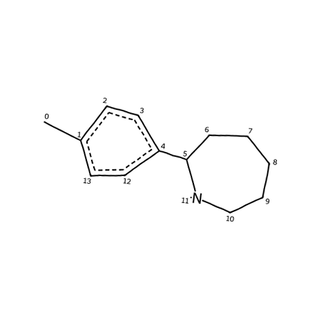 Cc1ccc(C2CCCCC[N]2)cc1